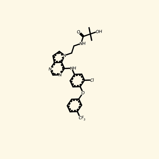 CC(C)(O)C(=O)NCCn1ccc2ncnc(Nc3ccc(Oc4cccc(C(F)(F)F)c4)c(Cl)c3)c21